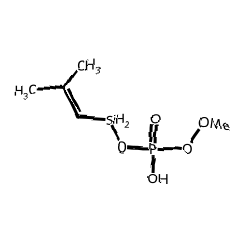 COOP(=O)(O)O[SiH2]C=C(C)C